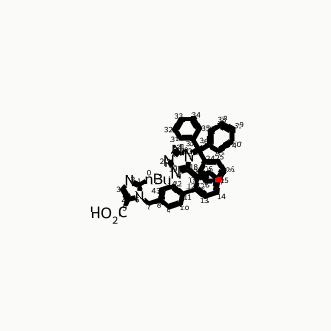 CCCCc1ncc(C(=O)O)n1Cc1ccc(-c2ccccc2-c2nnnn2C(c2ccccc2)(c2ccccc2)c2ccccc2)cc1